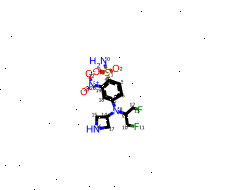 NS(=O)(=O)c1ccc(N(C(CF)CF)C2CNC2)cc1[N+](=O)[O-]